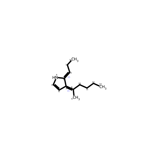 CC/C=c1\[nH]cc\c1=C(/C)CCCC